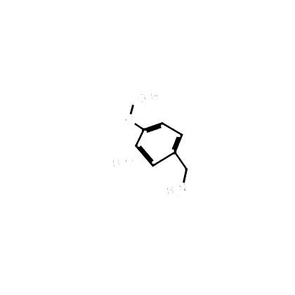 NCc1ccc(OS(=O)(=O)O)cc1.O